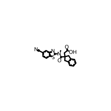 CN(C(=O)C1(CC(=O)O)Cc2ccccc2C1)c1nc2cc(C#N)ccc2s1